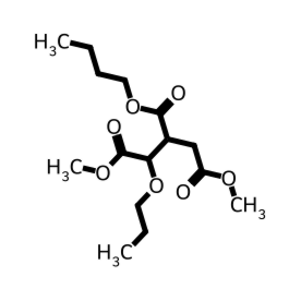 CCCCOC(=O)C(CC(=O)OC)C(OCCC)C(=O)OC